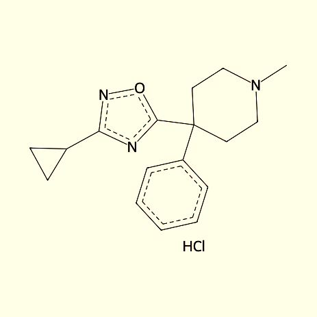 CN1CCC(c2ccccc2)(c2nc(C3CC3)no2)CC1.Cl